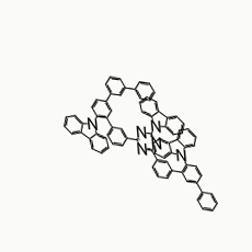 c1ccc(-c2cccc(-c3ccc(-n4c5ccccc5c5ccccc54)c(-c4cccc(-c5nc(-c6cccc(-c7cc(-c8ccccc8)ccc7-n7c8ccccc8c8ccccc87)c6)nc(-n6c7ccccc7c7ccccc76)n5)c4)c3)c2)cc1